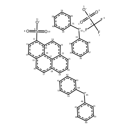 O=S(=O)([O-])C(F)(F)F.O=S(=O)([O-])c1ccc2ccc3cccc4ccc1c2c34.c1ccc([I+]c2ccccc2)cc1.c1ccc([I+]c2ccccc2)cc1